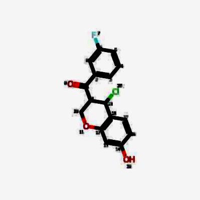 O=C(c1cccc(F)c1)C1COc2cc(O)ccc2C1Cl